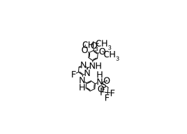 COc1cc(Nc2ncc(F)c(Nc3cccc(NS(=O)(=O)CC(F)(F)F)c3)n2)cc(OC)c1OC